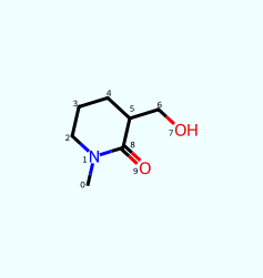 CN1CCCC(CO)C1=O